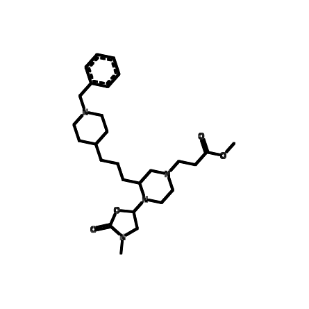 COC(=O)CCN1CCN(C2CN(C)C(=O)O2)C(CCCC2CCN(Cc3ccccc3)CC2)C1